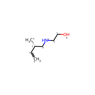 C=C[C@H](C)CNCCO